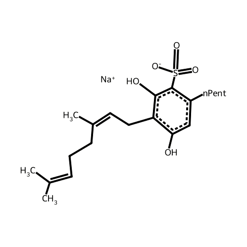 CCCCCc1cc(O)c(CC=C(C)CCC=C(C)C)c(O)c1S(=O)(=O)[O-].[Na+]